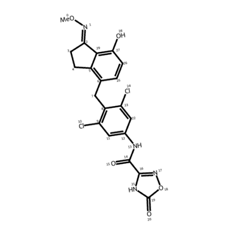 CO/N=C1\CCc2c(Cc3c(Cl)cc(NC(=O)c4noc(=O)[nH]4)cc3Cl)ccc(O)c21